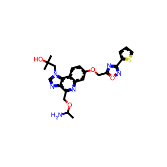 CC(N)OCc1nc2cc(OCc3nc(-c4cccs4)no3)ccc2c2c1ncn2CC(C)(C)O